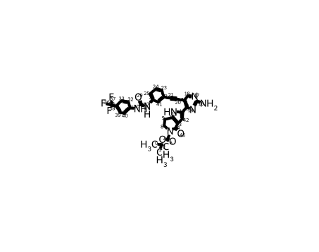 CC(C)(C)OC(=O)N1CCc2[nH]c(-c3nc(N)ncc3C#Cc3cccc(NC(=O)Nc4ccc(C(F)(F)F)cc4)c3)cc2C1=O